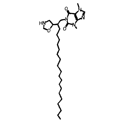 CCCCCCCCCCCCCCCCCCCC(Cn1c(=O)c2c(ncn2C)n(C)c1=O)C1CNCO1